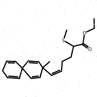 CCOC(=O)C(CC/C=C\C1(C)C=CC2(C=CCC=C2)C=C1)SC